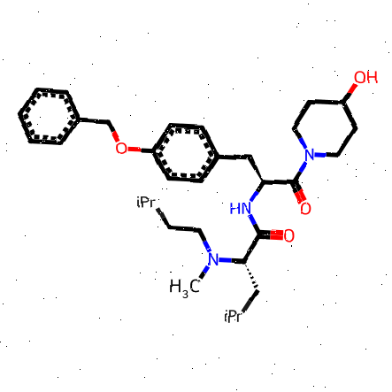 CC(C)CCN(C)[C@@H](CC(C)C)C(=O)N[C@@H](Cc1ccc(OCc2ccccc2)cc1)C(=O)N1CCC(O)CC1